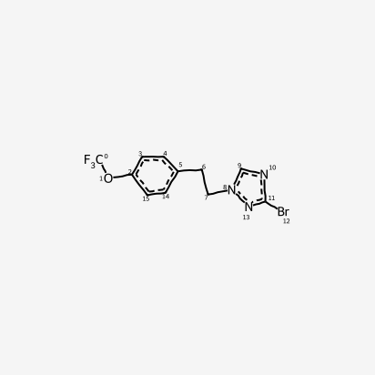 FC(F)(F)Oc1ccc(CCn2cnc(Br)n2)cc1